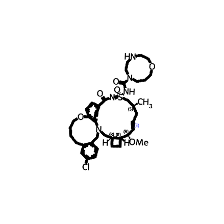 CO[C@H]1/C=C/C[C@H](C)CS(=O)(NC(=O)N2CCCOCCNCC2)=NC(=O)c2ccc3c(c2)N(Cc2ccc(Cl)cc2CCCCO3)C[C@@H]2CC[C@H]21